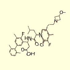 COC1CN(CCc2cn(C(CC(C)C)C(=O)NC(CC(=O)O)c3cc(-c4c(C)cccc4C)cc(C)c3F)c(=O)c(F)c2C)C1